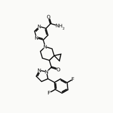 NC(=O)c1cc(N2CCC(C(=O)N3N=CCC3c3cc(F)ccc3F)C3(CC3)C2)ncn1